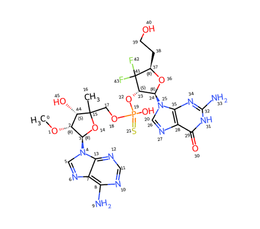 CO[C@H]1[C@H](n2cnc3c(N)ncnc32)OC(C)(COP(O)(=S)O[C@H]2[C@H](n3cnc4c(=O)[nH]c(N)nc43)O[C@H](CCO)C2(F)F)[C@H]1O